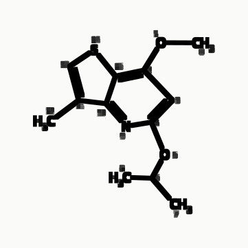 COc1cc(OC(C)C)nc2c(C)csc12